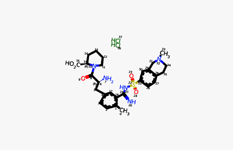 Cc1ccc(C[C@@H](N)C(=O)N2CCCC[C@@H]2C(=O)O)cc1C(=N)NS(=O)(=O)c1ccc2c(c1)CN(C)CC2.Cl.Cl